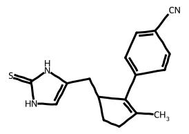 CC1=C(c2ccc(C#N)cc2)C(Cc2c[nH]c(=S)[nH]2)CC1